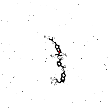 C=CC(=O)OCC1CC2C3CC(C2C1)C(C(CC)(CC)OC(=O)c1cccc(C(=O)OCC2CC4C5CC(CC(C)CC)C(C5)C4C2)c1)C3